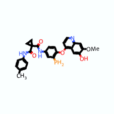 COc1cc2nccc(Oc3ccc(NC(=O)C4(C(=O)Nc5ccc(C)cc5)CC4)cc3P)c2cc1O